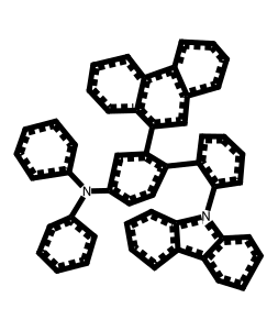 c1ccc(N(c2ccccc2)c2ccc(-c3ccccc3-n3c4ccccc4c4ccccc43)c(-c3cc4ccccc4c4ccccc34)c2)cc1